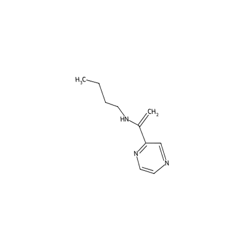 C=C(NCCCC)c1cnccn1